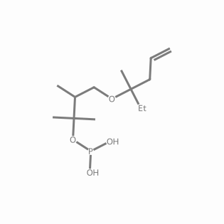 C=CCC(C)(CC)OCC(C)C(C)(C)OP(O)O